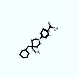 COC1(CC2CCCCC2)CCN(c2ccc(C(=O)O)cc2)CC1